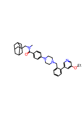 CCOc1cncc(-c2ccccc2CN2CCN(c3ccc(C(=O)N(C)CC45CC6CC(CC(C6)C4)C5)cc3)CC2)c1